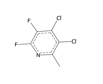 Cc1nc(F)c(F)c(Cl)c1Cl